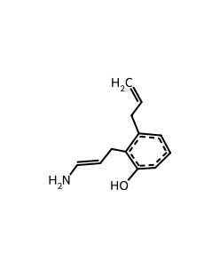 C=CCc1cccc(O)c1CC=CN